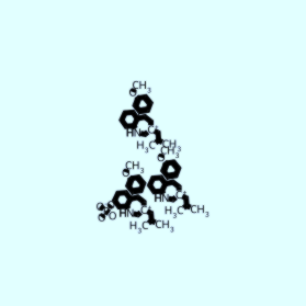 COc1cccc([C@@]23CCCC[C@H]2NC[C+](CC(C)C)CC3)c1.COc1cccc([C@@]23CCCC[C@H]2NC[C+](CC(C)C)CC3)c1.COc1cccc([C@@]23CCCC[C@H]2NC[C+](CC(C)C)CC3)c1.O=P([O-])([O-])[O-]